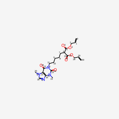 C=CCOC(=O)C(CCCCCn1c(=O)c2c(ncn2C)n(C)c1=O)C(=O)OCC=C